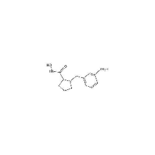 O=C(O)c1cccc(CN2CCCC2C(=O)NO)c1